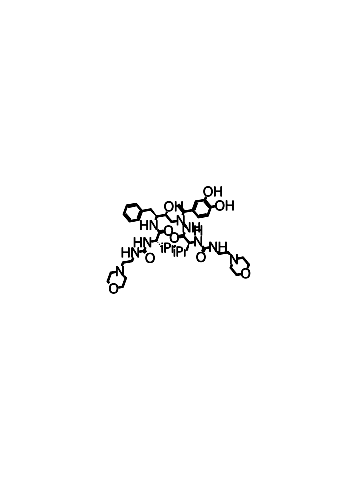 C=C(c1ccc(O)c(O)c1)N(C[C@H](O)[C@H](Cc1ccccc1)NC(=O)[C@@H](NC(=O)NCCN1CCOCC1)C(C)C)NC(=O)[C@@H](NC(=O)NCCN1CCOCC1)C(C)C